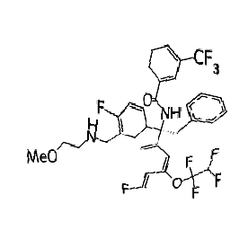 C=C(/C=C(\C=C\F)OC(F)(F)C(F)F)[C@](Cc1ccccc1)(NC(=O)C1=CC(C(F)(F)F)=CCC1)C1C=CC(F)=C(CNCCOC)C1